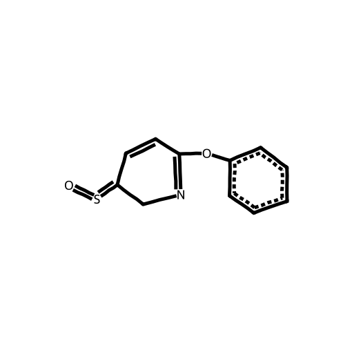 O=S=C1C=CC(Oc2ccccc2)=NC1